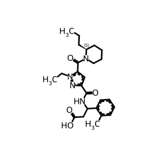 CCC[C@H]1CCCCN1C(=O)c1cc(C(=O)NC(CC(=O)O)c2ccccc2C)nn1CC